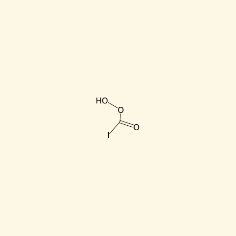 O=C(I)OO